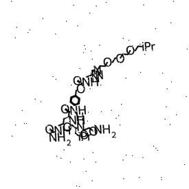 CC(C)CCOCCOCCOCCn1cc(CNC(=O)OCc2ccc(NC(=O)[C@H](CCCNC(N)=O)NC(=O)[C@H](CC(C)C)NC(=O)CON)cc2)nn1